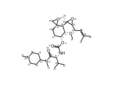 CO[C@@H]1[C@H](OC(=O)N[C@@H](C(=O)N(C)C2CCN(C)CC2)C(C)C)CC[C@]2(CO2)[C@H]1[C@@]1(C)OC1CC=C(C)C